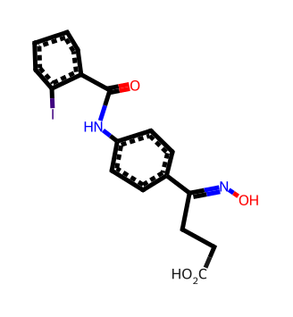 O=C(O)CCC(=NO)c1ccc(NC(=O)c2ccccc2I)cc1